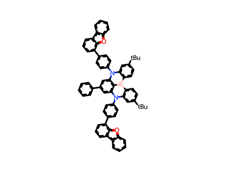 CC(C)(C)c1ccc2c(c1)N(c1ccc(-c3cccc4c3oc3ccccc34)cc1)c1cc(-c3ccccc3)cc3c1B2c1ccc(C(C)(C)C)cc1N3c1ccc(-c2cccc3c2oc2ccccc23)cc1